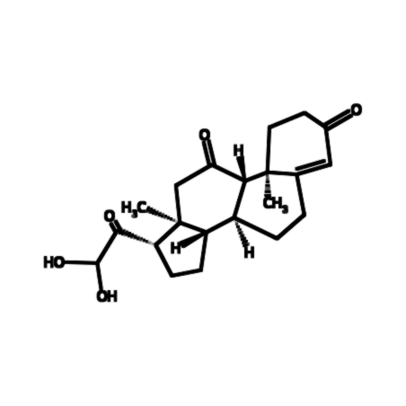 C[C@]12CC(=O)[C@H]3[C@@H](CCC4=CC(=O)CC[C@@]43C)[C@@H]1CC[C@@H]2C(=O)C(O)O